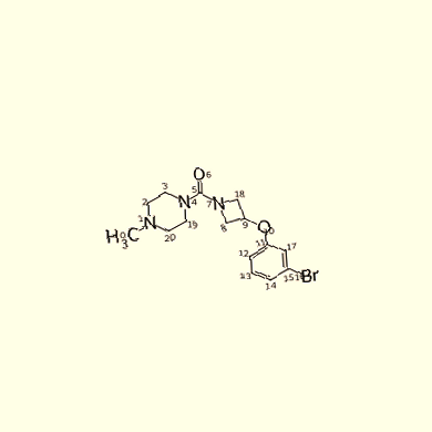 CN1CCN(C(=O)N2CC(Oc3cccc(Br)c3)C2)CC1